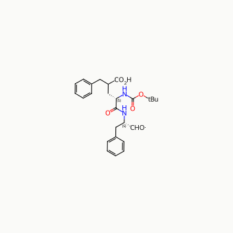 CC(C)(C)OC(=O)N[C@@H](CC(Cc1ccccc1)C(=O)O)C(=O)N[C@H]([C]=O)Cc1ccccc1